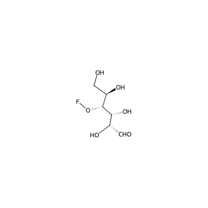 O=C[C@H](O)[C@@H](O)[C@H](OF)[C@H](O)CO